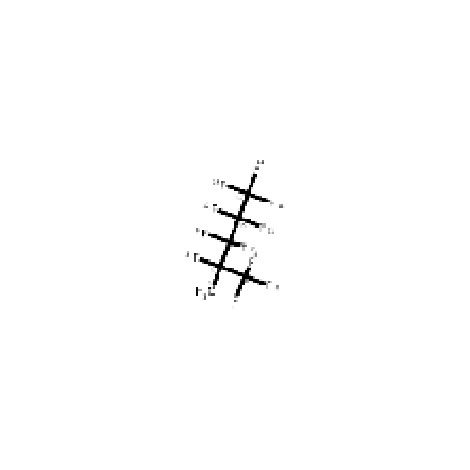 CC(F)(C(F)(F)F)C(F)(F)C(F)(F)C(F)(F)F